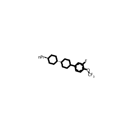 CCC[C@H]1CC[C@H](C2CCC(c3ccc(OC(F)(F)F)c(F)c3)CC2)CC1